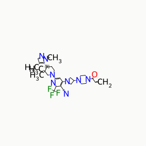 C=CC(=O)N1CCN(C2CN(c3cc(N4CC[C@@H](c5c(C)cnn5C)C(C)(C)C4)nc(C(F)(F)F)c3C#N)C2)CC1